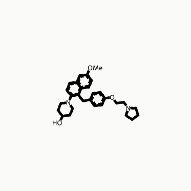 COc1ccc2c(Cc3ccc(OCCN4CCCC4)cc3)c(N3CCC(O)CC3)ccc2c1